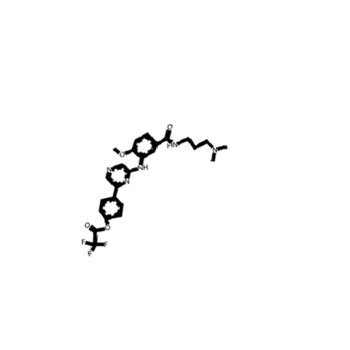 COc1ccc(C(=O)NCCCN(C)C)cc1Nc1cncc(-c2ccc(OC(=O)C(F)(F)F)cc2)n1